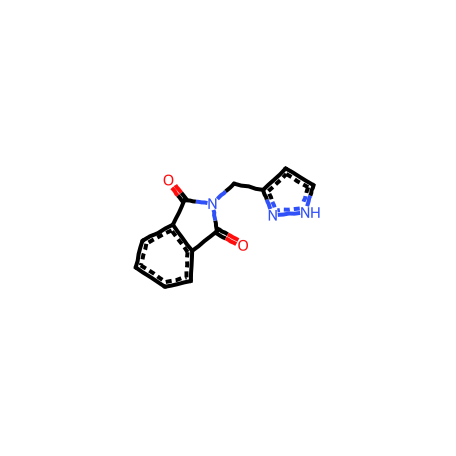 O=C1c2ccccc2C(=O)N1Cc1cc[nH]n1